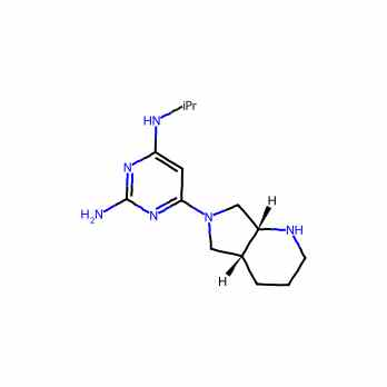 CC(C)Nc1cc(N2C[C@H]3CCCN[C@H]3C2)nc(N)n1